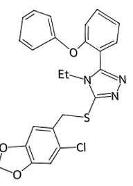 CCn1c(SCc2cc3c(cc2Cl)OCO3)nnc1-c1ccccc1Oc1ccccc1